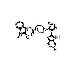 Cn1c(=O)n(CC(=O)N2CCN(c3scnc3-c3nc4ccc(F)cc4[nH]3)CC2)c2ccccc21